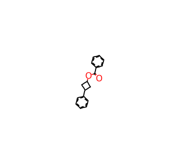 O=C(OC1CC(c2ccccc2)C1)c1ccccc1